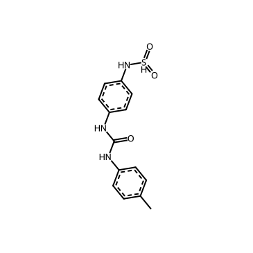 Cc1ccc(NC(=O)Nc2ccc(N[SH](=O)=O)cc2)cc1